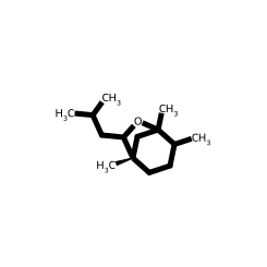 CC(C)CC1OC2(C)C[C@]1(C)CCC2C